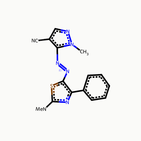 CNc1nc(-c2ccccc2)c(/N=N/c2c(C#N)cnn2C)s1